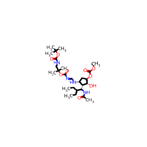 CCC(CC)C(NC(C)=O)[C@H]1[C@@H](O)[C@H](OC(=O)OC)C[C@H]1N/C=N/C(=O)OC(C)(C)CNC(=O)OC(C)(C)C